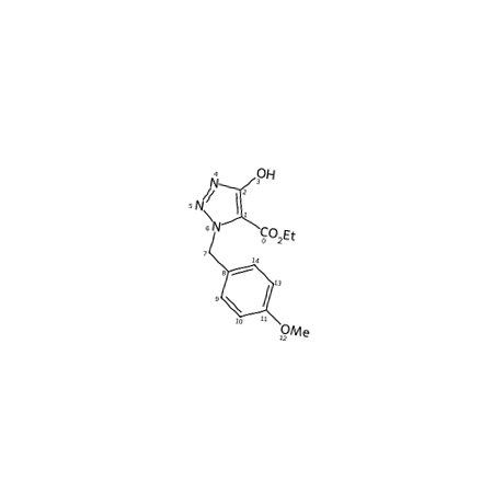 CCOC(=O)c1c(O)nnn1Cc1ccc(OC)cc1